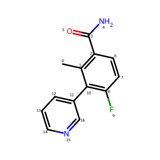 Cc1c(C(N)=O)ccc(F)c1-c1cccnc1